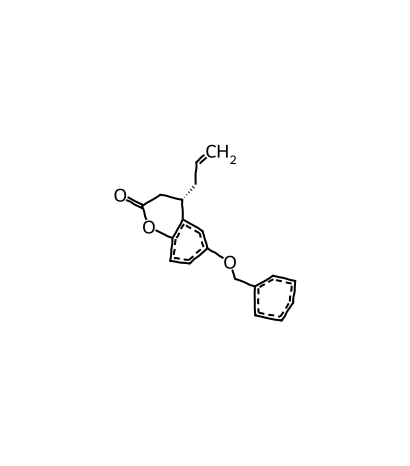 C=CC[C@H]1CC(=O)Oc2ccc(OCc3ccccc3)cc21